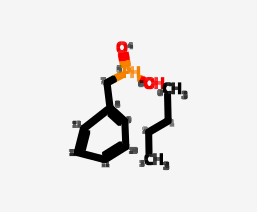 CCCC.O=[PH](O)Cc1ccccc1